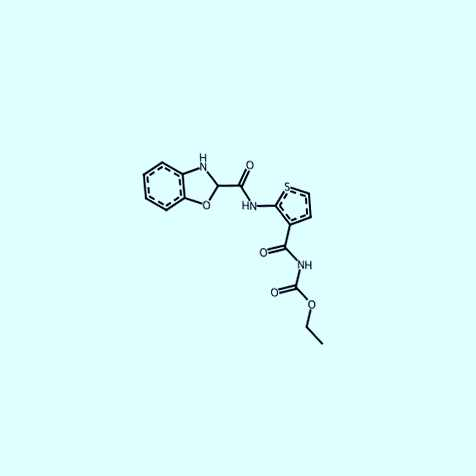 CCOC(=O)NC(=O)c1ccsc1NC(=O)C1Nc2ccccc2O1